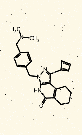 CN(C)Cc1ccc(Cn2nc(C3=CC=C3)c3c4c(c(=O)[nH]c32)CCCC4)cc1